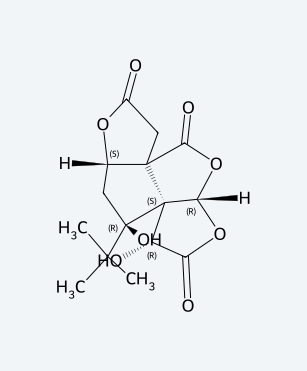 CC(C)(C)[C@]1(O)C[C@@H]2OC(=O)CC23C(=O)O[C@@H]2OC(=O)[C@H](O)[C@@]231